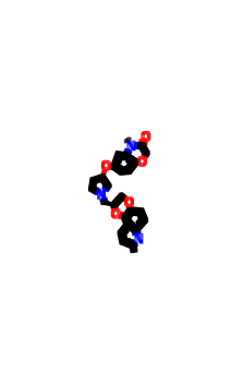 Cc1ccc2c3c(ccc2n1)OC[C@H](CN1CC[C@@H](Oc2ccc4c(c2)N(C)C(=O)CO4)C1)O3